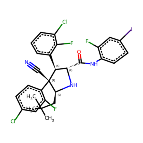 CC(C)(C)C[C@@H]1N[C@@H](C(=O)Nc2ccc(I)cc2F)[C@H](c2cccc(Cl)c2F)[C@@]1(C#N)c1ccc(Cl)cc1F